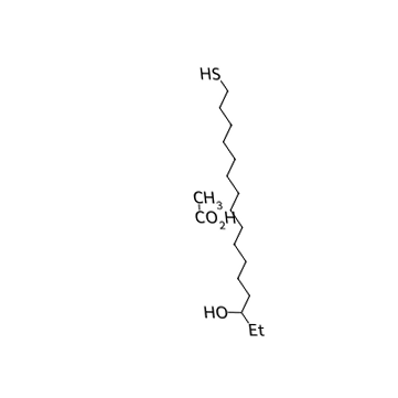 CC(=O)O.CCC(O)CCCCCCCCCCCCCS